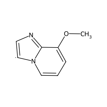 COc1cccn2[c]cnc12